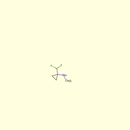 O=[C]NC1(C(F)F)CC1